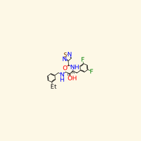 CCc1cccc(CNC[C@H](O)[C@H](Cc2cc(F)cc(F)c2)NC(=O)c2cnsn2)c1